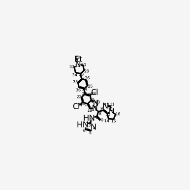 C=C(Nc1ncc[nH]1)C(c1ncn2c1CCC2)n1cc2c(Cl)cc(-c3ccc(C4CCN(CC)CC4)cc3)c(Cl)c2n1